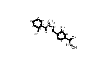 CN(/N=C/c1ccc(C(=O)NO)cc1F)C(=O)c1ccccc1F